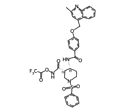 Cc1cc(COc2ccc(C(=O)N[C@@H]3CCN(S(=O)(=O)c4ccccc4)C[C@@H]3C(=O)NOC(=O)C(F)(F)F)cc2)c2ccccc2n1